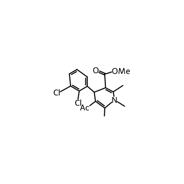 COC(=O)C1=C(C)N(C)C(C)=C(C(C)=O)C1c1cccc(Cl)c1Cl